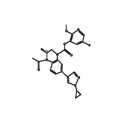 COc1ncc(F)cc1OC(=O)N1C[C@H](C)N(C(C)=O)c2ccc(-c3cnn(C4CC4)c3)cc21